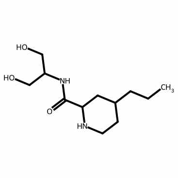 CCCC1CCNC(C(=O)NC(CO)CO)C1